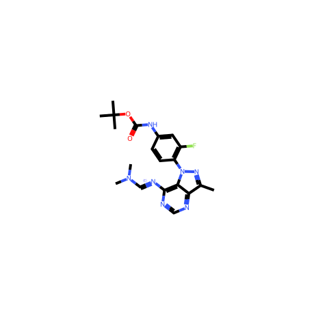 Cc1nn(-c2ccc(NC(=O)OC(C)(C)C)cc2F)c2c(/N=C/N(C)C)ncnc12